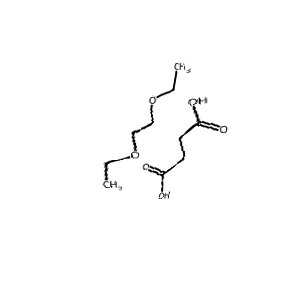 CCOCCOCC.O=C(O)CCC(=O)O